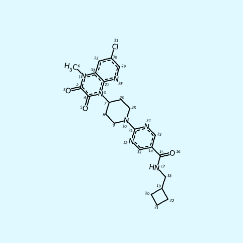 Cn1c(=O)c(=O)n(C2CCN(c3ncc(C(=O)NCC4CCC4)cn3)CC2)c2ncc(Cl)cc21